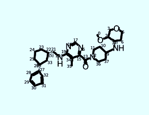 COC1COCC[C@@H]1NC1CCN(C(=O)c2ncnc(NC[C@H]3CCC[C@@H](c4ccccc4)C3)c2C)CC1